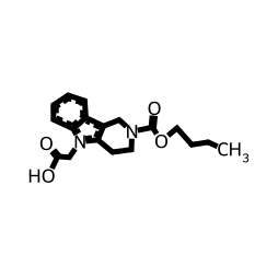 CCCCOC(=O)N1CCc2c(c3ccccc3n2CC(=O)O)C1